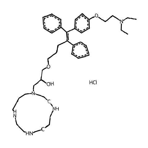 CCN(CC)CCOc1ccc(/C(=C(/CCCOCC(O)CN2CCCNCCNCCCNCC2)c2ccccc2)c2ccccc2)cc1.Cl